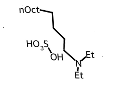 CCCCCCCCCCCCN(CC)CC.O=S(=O)(O)O